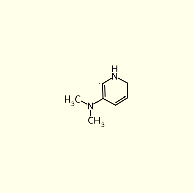 CN(C)C1=[C]NCC=C1